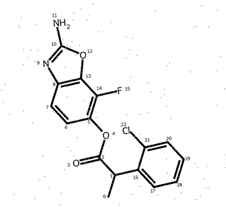 CC(C(=O)Oc1ccc2nc(N)oc2c1F)c1ccccc1Cl